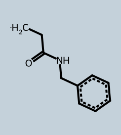 [CH2]CC(=O)NCc1ccccc1